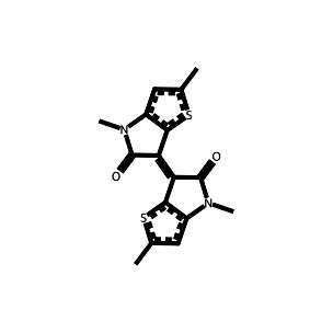 Cc1cc2c(s1)/C(=C1\C(=O)N(C)c3cc(C)sc31)C(=O)N2C